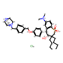 CCCCC1(CCCC)CS(=O)(=O)c2ccc(N(C)C)cc2[C@@H](c2ccc(OCc3ccc(C[N+]45CCN(CC4)CC5)cc3)cc2)[C@H]1O.[Cl-]